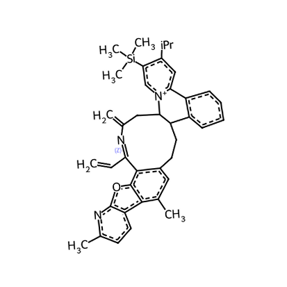 C=C/C1=N/C(=C)CC2C(CCc3cc(C)c4c(oc5nc(C)ccc54)c31)c1ccccc1-c1cc(C(C)C)c([Si](C)(C)C)c[n+]12